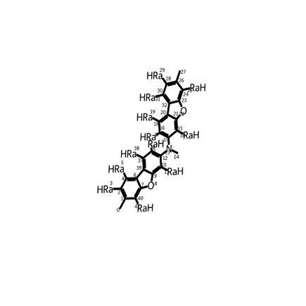 Cc1[c]([RaH])[c]([RaH])c2c(oc3[c]([RaH])c(N(C)c4[c]([RaH])[c]([RaH])c5c(oc6[c]([RaH])c(C)[c]([RaH])[c]([RaH])c65)[c]4[RaH])[c]([RaH])[c]([RaH])c32)[c]1[RaH]